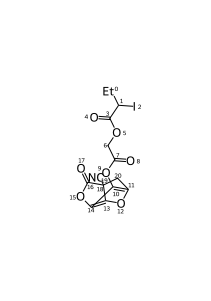 CCC(I)C(=O)OCC(=O)Oc1c2oc3c1OC(=O)C3(C#N)C2